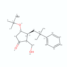 CC(C)(C)[Si](C)(C)OC1CC(=O)C(CO)[C@@H]1C[Si](C)(C)c1ccccc1